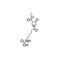 CCOC(=O)C1CN(C(=O)CCCCCNC(=O)O)CC1=O